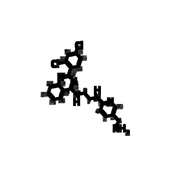 NCc1ccc(NCCNc2nc(-c3ccc(Cl)cc3Cl)nc3ccccc23)nc1